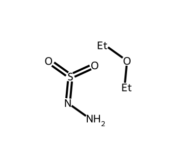 CCOCC.NN=S(=O)=O